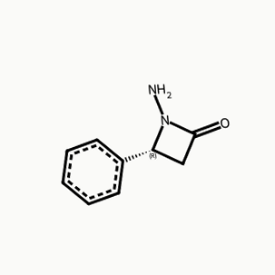 NN1C(=O)C[C@@H]1c1ccccc1